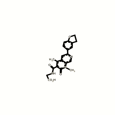 Cc1c(C(=O)NCC(=O)O)c(=O)n(C)c2cnc(-c3ccc4c(c3)CCO4)cc12